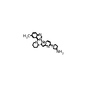 Cc1ccc2ncnc(N3CCCC[C@H]3c3cc4nc(N5CC[C@@H](N)C5)ccn4n3)c2c1